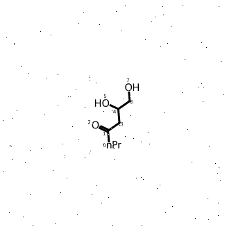 CCCC(=O)[CH]C(O)CO